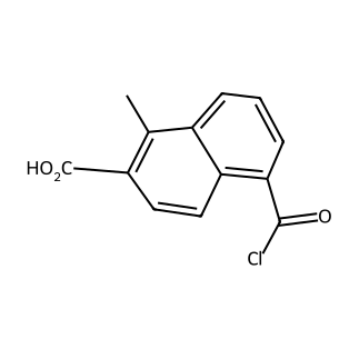 Cc1c(C(=O)O)ccc2c(C(=O)Cl)cccc12